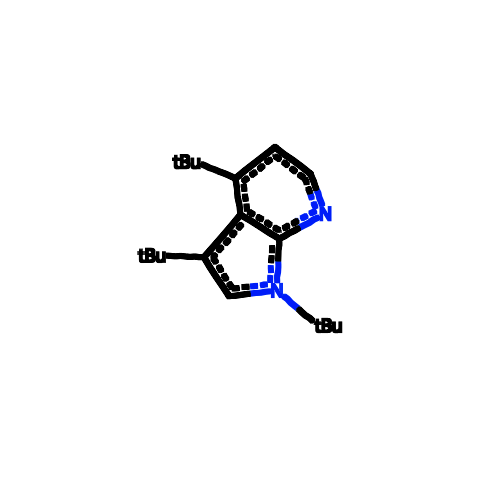 CC(C)(C)c1ccnc2c1c(C(C)(C)C)cn2C(C)(C)C